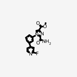 COC(=O)c1cn(-c2cccc(-c3ccnc(F)c3)c2)c(C(N)=O)n1